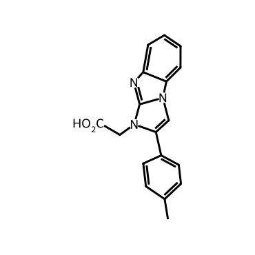 Cc1ccc(-c2cn3c4ccccc4nc3n2CC(=O)O)cc1